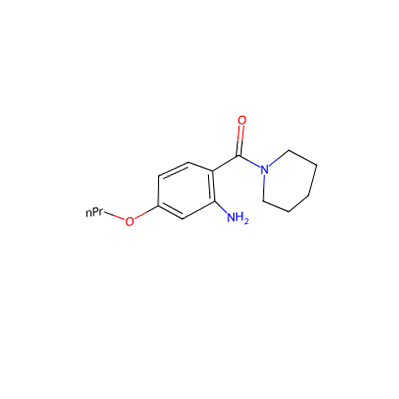 CCCOc1ccc(C(=O)N2CCCCC2)c(N)c1